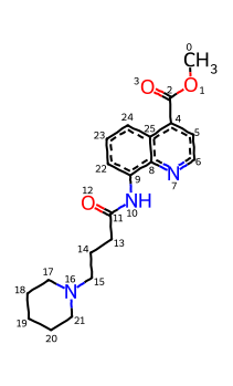 COC(=O)c1ccnc2c(NC(=O)CCCN3CCCCC3)cccc12